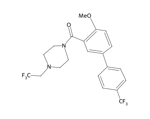 COc1ccc(-c2ccc(C(F)(F)F)cc2)cc1C(=O)N1CCN(CC(F)(F)F)CC1